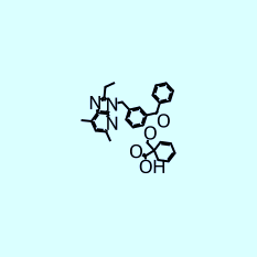 CCc1nc2c(C)cc(C)nc2n1Cc1ccc(OCC2(C(=O)O)C=CC=CC2)c(C(=O)c2ccccc2)c1